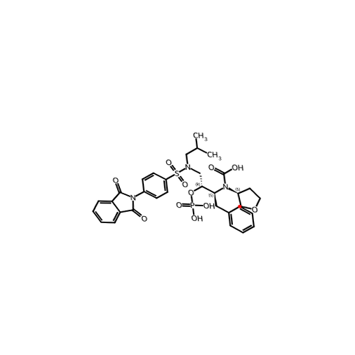 CC(C)CN(C[C@@H](OP(=O)(O)O)[C@H](Cc1ccccc1)N(C(=O)O)[C@H]1CCOC1)S(=O)(=O)c1ccc(N2C(=O)c3ccccc3C2=O)cc1